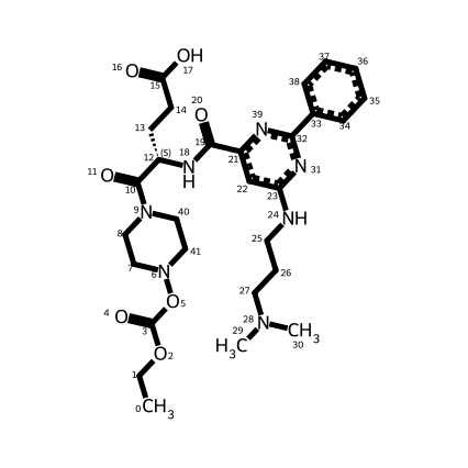 CCOC(=O)ON1CCN(C(=O)[C@H](CCC(=O)O)NC(=O)c2cc(NCCCN(C)C)nc(-c3ccccc3)n2)CC1